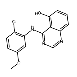 COc1ccc(Cl)c(Nc2ncnc3cccc(O)c23)c1